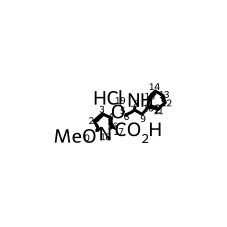 COc1ccc(OCC(N)Cc2ccccc2)c(C(=O)O)n1.Cl